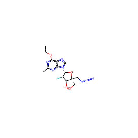 CCOc1nc(C)nc2c1ncn2[C@@H]1O[C@@](CO)(CN=[N+]=[N-])[C@@H](O)[C@H]1F